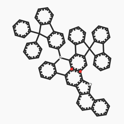 c1ccc(C2(c3ccccc3)c3ccccc3-c3ccc(N(c4ccccc4-c4ccc5oc6c7ccccc7ccc6c5c4)c4cccc5c4-c4ccccc4C54c5ccccc5-c5ccccc54)cc32)cc1